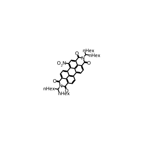 CCCCCCC(CCCCCC)N1C(=O)c2ccc3c4ccc5c6c(cc([N+](=O)[O-])c(c7ccc(c2c37)C1=O)c64)C(=O)N(C(CCCCCC)CCCCCC)C5=O